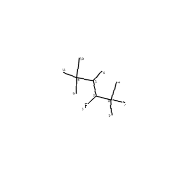 CC(C(F)C(C)(C)C)C(C)(C)C